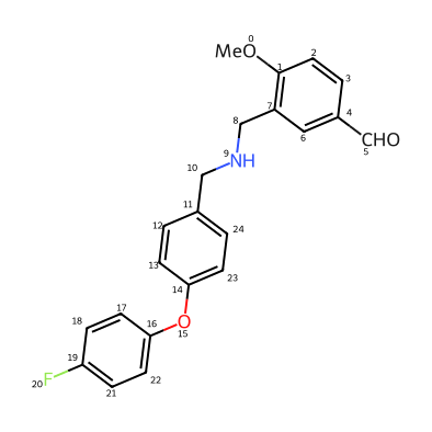 COc1ccc(C=O)cc1CNCc1ccc(Oc2ccc(F)cc2)cc1